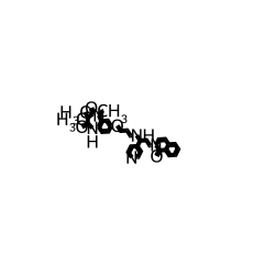 CN1C(=O)C(C)(C)C(=O)Nc2ccc(OCCCNC(CCn3ccc4ccccc4c3=O)c3ccncc3)cc21